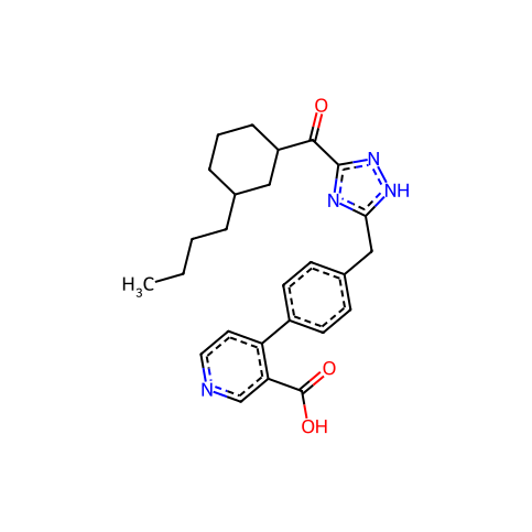 CCCCC1CCCC(C(=O)c2n[nH]c(Cc3ccc(-c4ccncc4C(=O)O)cc3)n2)C1